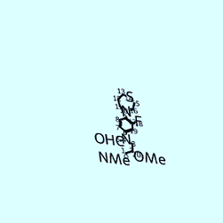 CNCC(CN(C=O)c1ccc(N2CCCSCC2)c(F)c1)OC